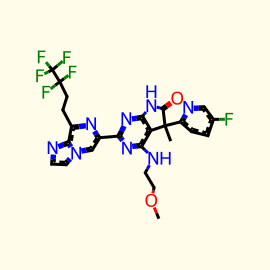 COCCNc1nc(-c2cn3ccnc3c(CCC(F)(F)C(F)(F)F)n2)nc2c1C(C)(c1ccc(F)cn1)C(=O)N2